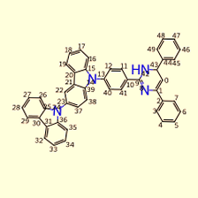 C1=C(c2ccccc2)N=C(c2ccc(-n3c4ccccc4c4cc(-n5c6ccccc6c6ccccc65)ccc43)cc2)NC1c1ccccc1